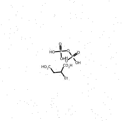 CCC(CC(=O)O)C(=O)O.O=P(O)(O)OP(=O)(O)O